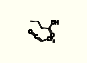 CCCC(=O)O.O=C=CC(F)(F)F